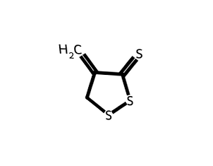 C=C1CSSC1=S